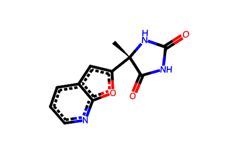 C[C@@]1(c2cc3cccnc3o2)NC(=O)NC1=O